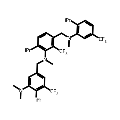 CC(C)c1ccc(C(F)(F)F)cc1N(C)Cc1ccc(C(C)C)c(N(C)Cc2cc(N(C)C)c(C(C)C)c(C(F)(F)F)c2)c1C(F)(F)F